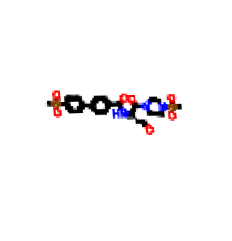 CS(=O)(=O)c1ccc(-c2ccc(C(=O)N[C@@H](CC=O)C(=O)N3CCN(S(C)(=O)=O)CC3)cc2)cc1